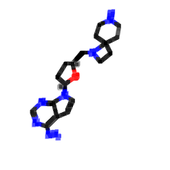 Nc1ncnc2c1ccn2[C@H]1CC[C@@H](CN2CCC23CCNCC3)O1